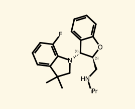 CC(C)NC[C@@H]1Oc2ccccc2[C@H]1N1CC(C)(C)c2cccc(F)c21